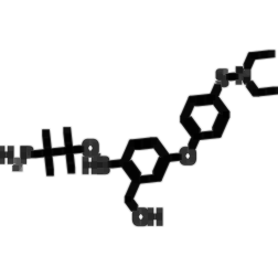 CCN(CC)Sc1ccc(Oc2ccc(BOC(C)(C)C(C)(C)P)c(CO)c2)cc1